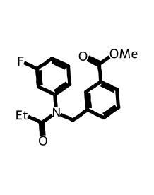 CCC(=O)N(Cc1cccc(C(=O)OC)c1)c1cccc(F)c1